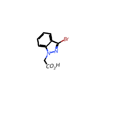 O=C(O)Cn1nc(Br)c2ccccc21